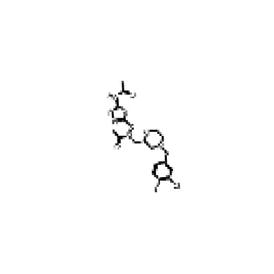 CC(=O)Nc1nnc(SN(C[C@@H]2CN(Cc3ccc(F)c(Cl)c3)CCO2)C(C)=O)s1